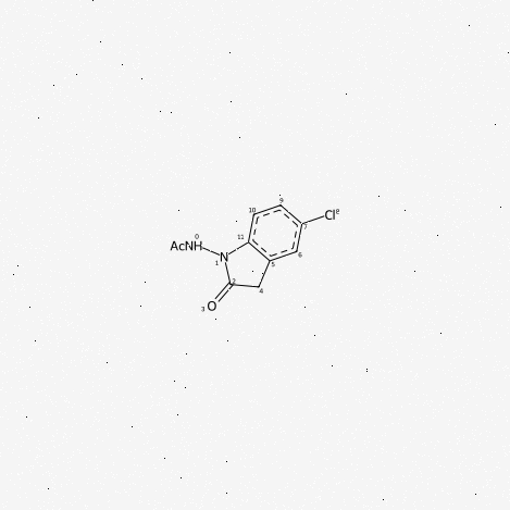 CC(=O)NN1C(=O)Cc2cc(Cl)ccc21